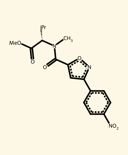 COC(=O)[C@H](C(C)C)N(C)C(=O)c1cc(-c2ccc([N+](=O)[O-])cc2)no1